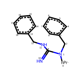 CC[CH]N(Cc1ccccc1)C(=N)NCc1ccccc1